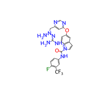 NC(N)=NN(N)Cc1cc(Oc2ccc3c(ccn3C(=O)Nc3ccc(F)c(C(F)(F)F)c3)c2)ncn1